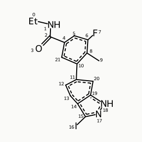 CCNC(=O)c1cc(F)c(C)c(-c2ccc3c(I)n[nH]c3c2)c1